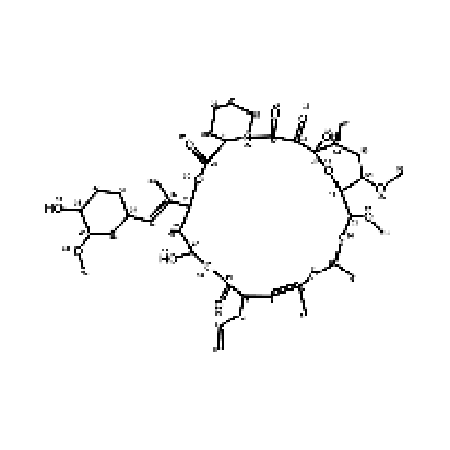 C=CCC1/C=C(/C)CC(C)CC(OC)C2OC(O)(C(=O)C(=O)N3CCCCC3C(=O)OC(C(C)=CC3CCC(O)C(OC)C3)C(C)C(O)CC1=O)C(C)CC2OC